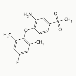 Cc1cc(F)cc(C)c1Oc1ccc(S(C)(=O)=O)cc1N